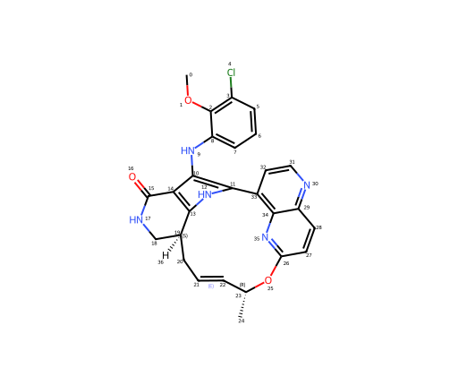 COc1c(Cl)cccc1Nc1c2[nH]c3c1C(=O)NC[C@@H]3C/C=C/[C@@H](C)Oc1ccc3nccc-2c3n1